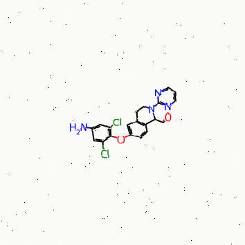 Nc1cc(Cl)c(Oc2ccc3c(c2)CCN(c2ncccn2)C3C=O)c(Cl)c1